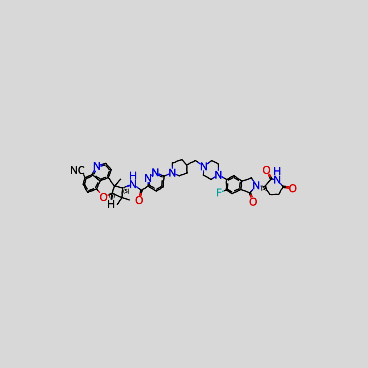 CC1(C)[C@H](NC(=O)c2ccc(N3CCC(CN4CCN(c5cc6c(cc5F)C(=O)N([C@H]5CCC(=O)NC5=O)C6)CC4)CC3)nn2)C2(C)c3ccnc4c(C#N)ccc(c34)O[C@@H]12